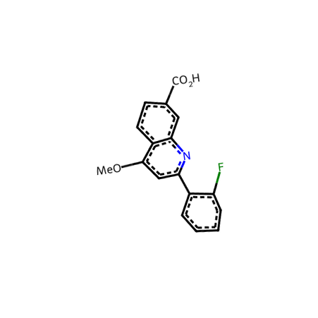 COc1cc(-c2ccccc2F)nc2cc(C(=O)O)ccc12